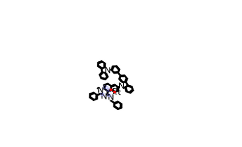 C=N\C(=N/C(=N\Cc1ccccc1)C(/C=C\Cc1cccc(-n2c3ccccc3c3ccc(-c4cccc(-n5c6ccccc6c6ccccc65)c4)cc32)c1)=C\CC)c1ccccc1